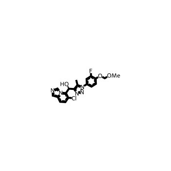 COCOc1ccc(-n2nnc([C@H](O)c3c(Cl)ccc4cncn34)c2C)cc1F